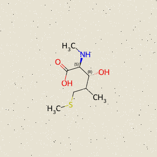 CN[C@H](C(=O)O)[C@H](O)C(C)CSC